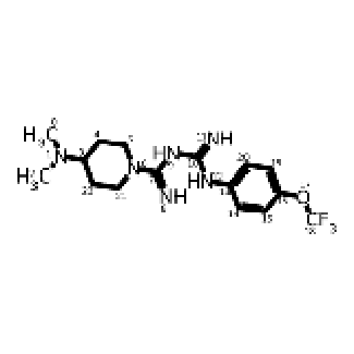 CN(C)C1CCN(C(=N)NC(=N)Nc2ccc(OC(F)(F)F)cc2)CC1